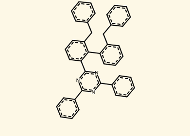 c1ccc(Cc2ccccc2-c2c(Cc3ccccc3)cccc2-c2nc(-c3ccccc3)nc(-c3ccccc3)n2)cc1